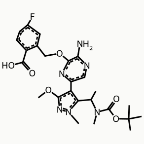 COc1nn(C)c(C(C)N(C)C(=O)OC(C)(C)C)c1-c1cnc(N)c(OCc2cc(F)ccc2C(=O)O)n1